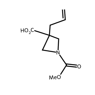 C=CCC1(C(=O)O)CN(C(=O)OC)C1